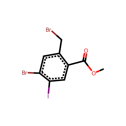 COC(=O)c1cc(I)c(Br)cc1CBr